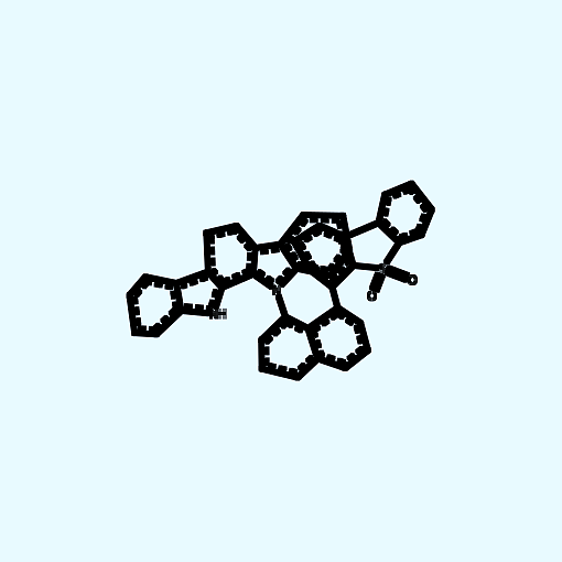 O=S1(=O)c2ccccc2-c2cccc(-c3cccc4cccc(-n5c6ccccc6c6ccc7c8ccccc8[nH]c7c65)c34)c21